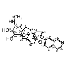 CN[C@H]1C[C@@]23CC[C@@]4(O2)C(=CC[C@]2(C)C(c5ccc6ccncc6c5)=CC[C@H]24)C=C3[C@@H](O)[C@@H]1O